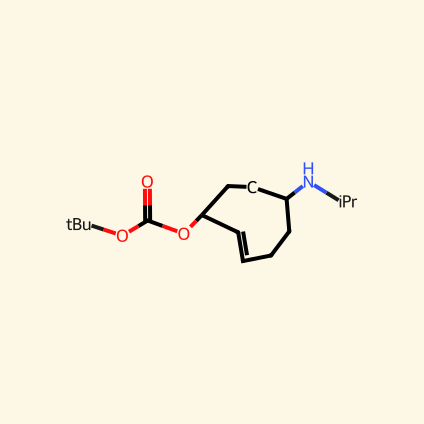 CC(C)NC1CC/C=C/C(OC(=O)OC(C)(C)C)CC1